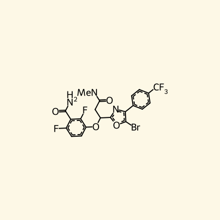 CNC(=O)CC(Oc1ccc(F)c(C(N)=O)c1F)c1nc(-c2ccc(C(F)(F)F)cc2)c(Br)o1